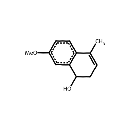 COc1ccc2c(c1)C(O)CC=C2C